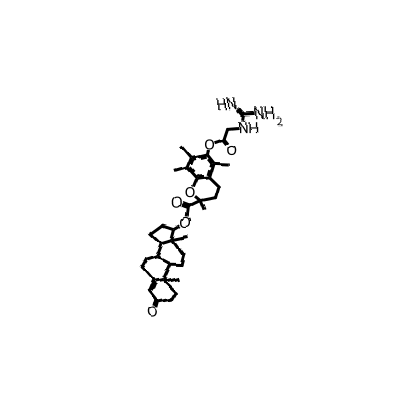 Cc1c(C)c2c(c(C)c1OC(=O)CNC(=N)N)CCC(C)(C(=O)OC1CCC3C4CCC5=CC(=O)CCC5(C)C4CCC13C)O2